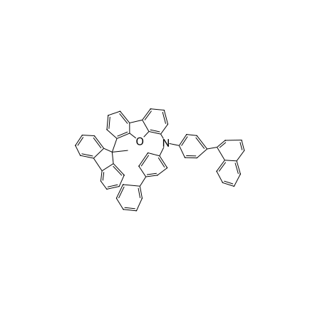 CC1(c2cccc3c2oc2c(N(c4ccc(-c5ccccc5)cc4)c4ccc(-c5cccc6ccccc56)cc4)cccc23)c2ccccc2-c2ccccc21